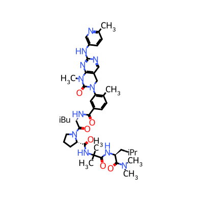 CC[C@H](C)[C@H](NC(=O)c1ccc(C)c(N2Cc3cnc(Nc4ccc(C)nc4)nc3N(C)C2=O)c1)C(=O)N1CCC[C@H]1C(=O)NC(C)(C)C(=O)N[C@@H](CC(C)C)C(=O)N(C)C